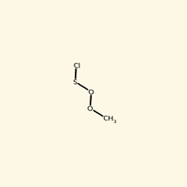 COOSCl